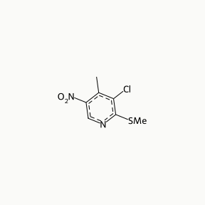 CSc1ncc([N+](=O)[O-])c(C)c1Cl